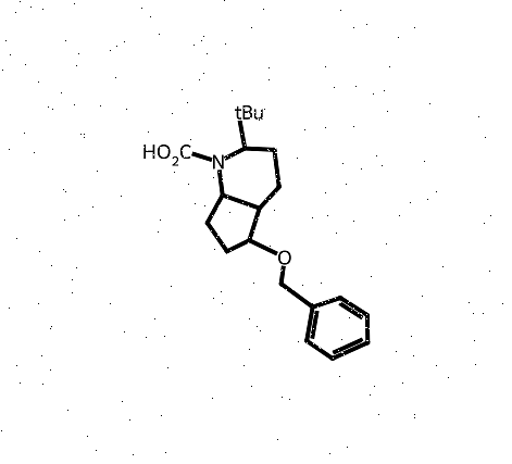 CC(C)(C)C1CCC2C(OCc3ccccc3)CCC2N1C(=O)O